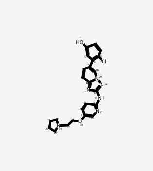 Oc1ccc(Cl)c(-c2ccc3nc(Nc4ccc(OCCN5CCCC5)cn4)nn3c2)c1